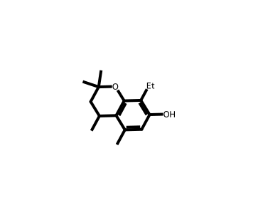 CCc1c(O)cc(C)c2c1OC(C)(C)CC2C